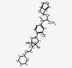 CC1O[C@@]2(CN1c1ccc(N3C[C@@H]4[C@@H](COC5CCCCO5)[C@@H]4C3)c(F)c1)Oc1nocc12